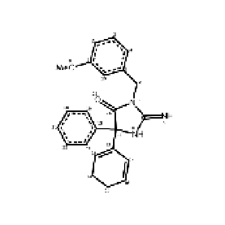 COc1cccc(CN2C(=N)NC(C3=CCCC=C3)(c3ccccc3)C2=O)c1